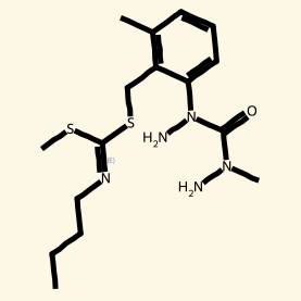 CCCC/N=C(\SC)SCc1c(C)cccc1N(N)C(=O)N(C)N